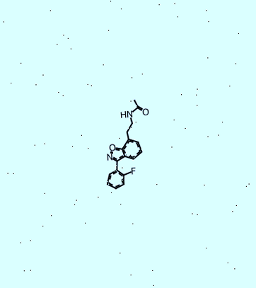 CC(=O)NCCc1cccc2c(-c3ccccc3F)noc12